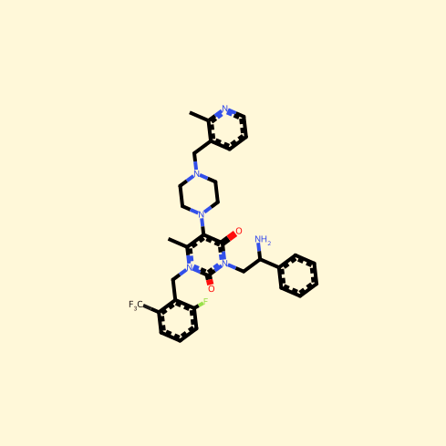 Cc1ncccc1CN1CCN(c2c(C)n(Cc3c(F)cccc3C(F)(F)F)c(=O)n(CC(N)c3ccccc3)c2=O)CC1